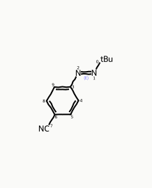 CC(C)(C)/N=N/c1ccc(C#N)cc1